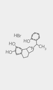 Br.CC(c1ccccc1O)N1CC2CCc3cc(O)c(O)cc3C2C1